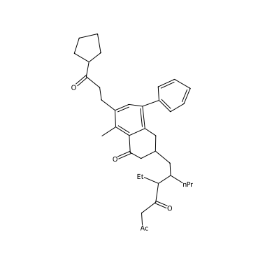 CCCC(CC1CC(=O)c2c(C)c(CCC(=O)C3CCCC3)cc(-c3ccccc3)c2C1)C(CC)C(=O)CC(C)=O